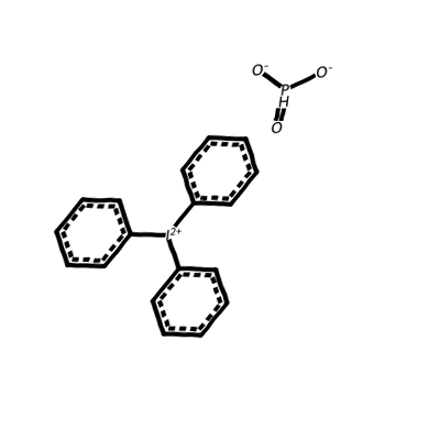 O=[PH]([O-])[O-].c1ccc([I+2](c2ccccc2)c2ccccc2)cc1